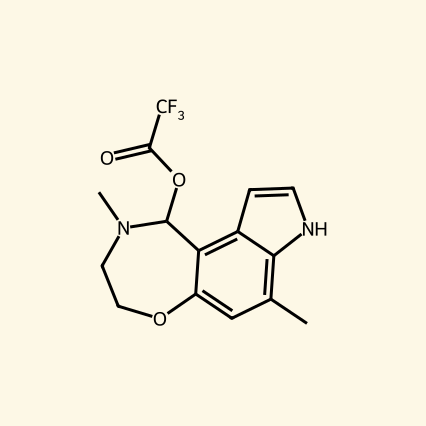 Cc1cc2c(c3cc[nH]c13)C(OC(=O)C(F)(F)F)N(C)CCO2